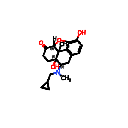 CN(CC1CC1)[C@@H]1Cc2ccc(O)c3c2C2(C)[C@@H](O3)C(=O)CC[C@@]12O